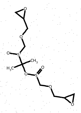 CC(C)(OS(=O)COCC1CO1)[S+]([O-])COCC1CO1